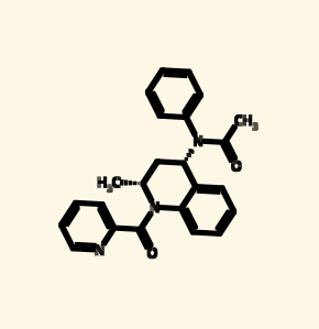 CC(=O)N(c1ccccc1)[C@H]1C[C@@H](C)N(C(=O)c2ccccn2)c2ccccc21